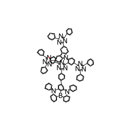 c1ccc(-c2nc(-c3ccccc3)nc(-c3ccc(-n4c5ccc(-c6nc(-c7ccccc7)nc(-c7ccccc7)n6)cc5c5cc(-c6nc(-c7ccccc7)nc(-c7ccccc7)n6)ccc54)c(-c4nc(-c5ccccc5)nc(-c5ccc(-c6cc7c8c(c6)N(c6ccccc6)c6ccccc6B8c6ccccc6N7c6ccccc6)cc5)n4)c3)n2)cc1